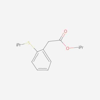 CC(C)OC(=O)Cc1ccccc1SC(C)C